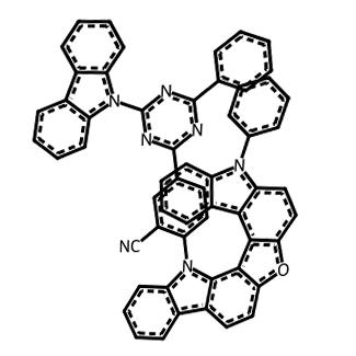 N#Cc1cc(-c2nc(-c3ccccc3)nc(-n3c4ccccc4c4ccccc43)n2)ccc1-n1c2ccccc2c2ccc3oc4ccc5c(c6ccccc6n5-c5ccccc5)c4c3c21